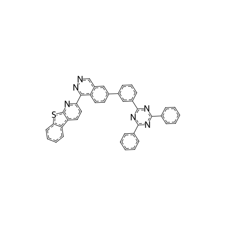 c1ccc(-c2nc(-c3ccccc3)nc(-c3cccc(-c4ccc5c(-c6ccc7c(n6)sc6ccccc67)nncc5c4)c3)n2)cc1